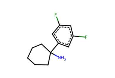 NC1(c2cc(F)cc(F)c2)CCCCC1